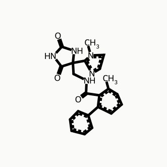 Cc1cccc(-c2ccccc2)c1C(=O)NCC1(c2nccn2C)NC(=O)NC1=O